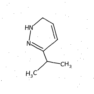 CC(C)C1=NNCC=C1